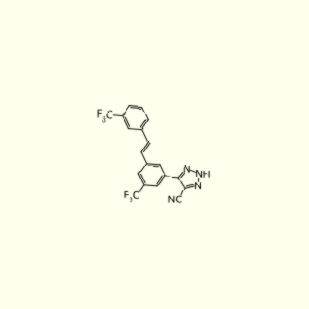 N#Cc1n[nH]nc1-c1cc(C=Cc2cccc(C(F)(F)F)c2)cc(C(F)(F)F)c1